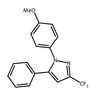 COc1ccc(-n2nc(C(F)(F)F)cc2-c2ccccc2)cc1